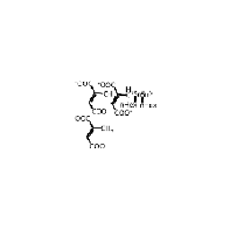 CC(=CC(=O)[O-])C(=O)[O-].CC(=CC(=O)[O-])C(=O)[O-].CC(=CC(=O)[O-])C(=O)[O-].CCCCC[CH2][Sn+3].CCCCC[CH2][Sn+3]